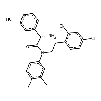 Cc1ccc(N(CCc2ccc(Cl)cc2Cl)C(=O)[C@@H](N)c2ccccc2)cc1C.Cl